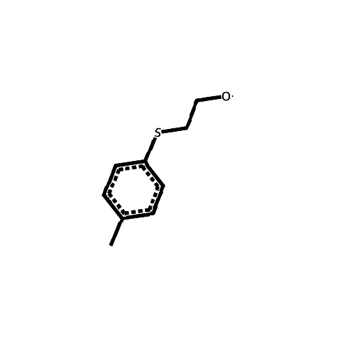 Cc1ccc(SCC[O])cc1